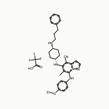 CCOc1ccc(Nc2c(C)c(N[C@H]3CC[C@H](NCCCc4ccccc4)CC3)c(C#N)c3ccnn23)cc1.O=C(O)C(F)(F)F